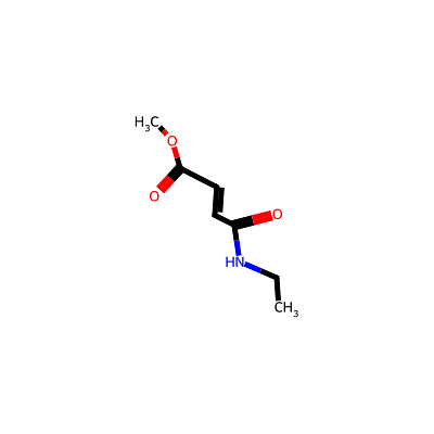 CCNC(=O)/C=C/C(=O)OC